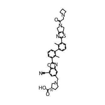 Cc1c(-c2nc3cc(CN4CC[C@@H](C(=O)O)C4)cc(C#N)c3o2)cccc1-c1cccc(-c2nc3c(s2)CN(C(=O)CN2CCC2)C3)c1C